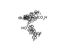 C#CCOc1cc(-n2nc(C(C)(C)C)oc2=O)c(Cl)cc1Cl.COc1c(Cl)ccc(Cl)c1C(=O)O.CP(=O)(O)CCC(N)C(=O)O.O=C(Nc1nc(OC(F)F)cc(OC(F)F)n1)NS(=O)(=O)c1ccccc1C(=O)O